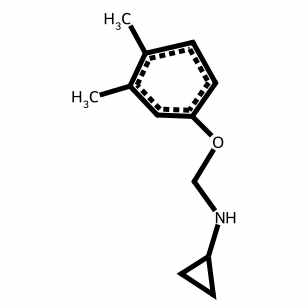 Cc1ccc(OCNC2CC2)cc1C